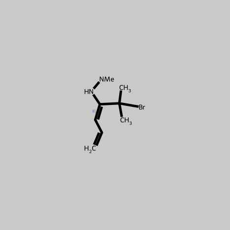 C=C/C=C(/NNC)C(C)(C)Br